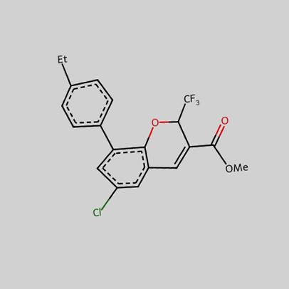 CCc1ccc(-c2cc(Cl)cc3c2OC(C(F)(F)F)C(C(=O)OC)=C3)cc1